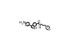 Nc1ccc(-c2c[nH]c3cc(C(=O)NCCCN4CCOCC4)ccc23)cn1